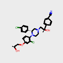 C[C@H](O)COc1ccc(N2CCN(C[C@@](C)(O)c3ccc(C#N)cc3)C[C@H]2c2ccc(Cl)cc2)c(Cl)c1